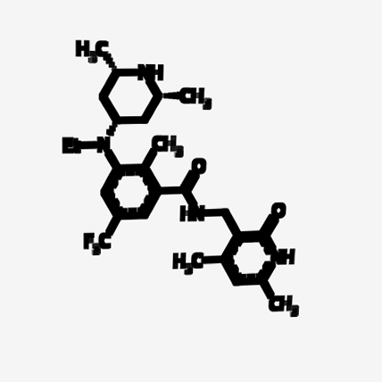 CCN(c1cc(C(F)(F)F)cc(C(=O)NCc2c(C)cc(C)[nH]c2=O)c1C)[C@H]1C[C@@H](C)N[C@@H](C)C1